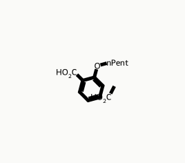 CC(=O)O.CCCCCOc1ccccc1C(=O)O